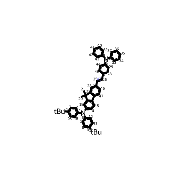 CC(C)(C)c1ccc(N(c2ccc(C(C)(C)C)cc2)c2ccc3c(c2)C(C)(C)c2cc(/C=C/c4ccc(N(c5ccccc5)c5ccccc5)cc4)ccc2-3)cc1